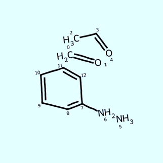 C=O.CC=O.N.Nc1ccccc1